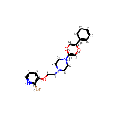 Brc1ncccc1OCCN1CCN(C2=COC(C3=CC=CCC3)=CO2)CC1